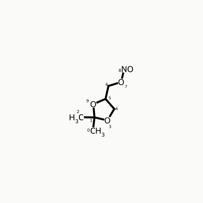 CC1(C)OCC(CON=O)O1